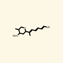 CCCC=CC=CC=C(C)C1[CH]C(OC)C(C)CO1